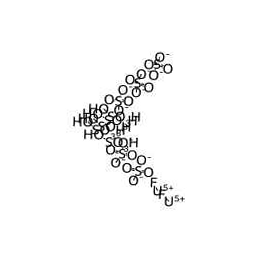 O=S(=O)(O)O.O=S(=O)(O)O.O=S(=O)(O)O.O=S(=O)(O)O.O=S(=O)(O)O.O=S(=O)([O-])[O-].O=S(=O)([O-])[O-].O=S(=O)([O-])[O-].O=S(=O)([O-])[O-].O=S(=O)([O-])[O-].[F][U+5].[F][U+5]